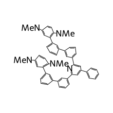 CNc1ccc(NC)c(-c2cccc(-c3cccc(-c4cc(-c5ccccc5)cc(-c5cccc(-c6cccc(-c7cc(NC)ccc7NC)c6)c5)n4)c3)c2)c1